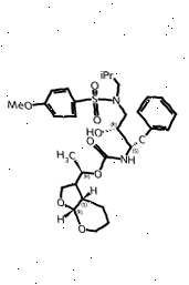 COc1ccc(S(=O)(=O)N(CC(C)C)C[C@@H](O)[C@H](Cc2ccccc2)NC(=O)O[C@H](C)C2CO[C@H]3OCCC[C@@H]23)cc1